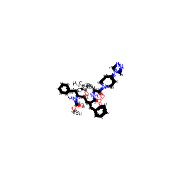 CC(C)[C@H](NC(=O)C(Cc1ccccc1)CC(O[Si](C)(C)C(C)(C)C)C(Cc1ccccc1)NC(=O)OC(C)(C)C)C(=O)N1CCC(n2cnnc2)CC1